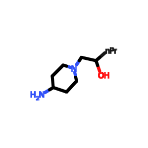 [CH2]CCC(O)CN1CCC(N)CC1